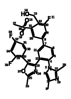 Cc1cn(-c2ccc(-c3cc(F)c(CO)c(S(C)(=O)=O)c3)cc2-c2nc(C)oc2-c2ccc(F)cc2F)c(C)n1